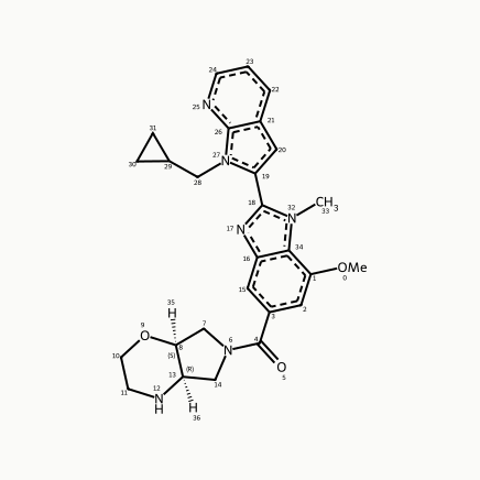 COc1cc(C(=O)N2C[C@@H]3OCCN[C@@H]3C2)cc2nc(-c3cc4cccnc4n3CC3CC3)n(C)c12